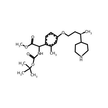 COC(=O)C(NC(=O)OC(C)(C)C)c1ccc(OCC[C@@H](C)C2CCNCC2)cc1C